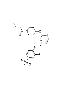 CCCCC(=O)N1CCC(Oc2cc(COc3ccc(S(C)(=O)=O)cc3F)ncn2)CC1